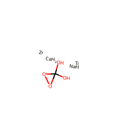 OC1(O)OO1.[CaH2].[NaH].[Ti].[Zr]